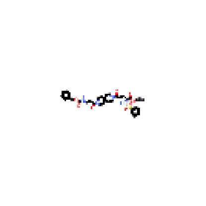 CC(C)(C)OC(=O)[C@H](CCC(=O)N1CCC2(CCN(C(=O)CCNC(=O)OCc3ccccc3)CC2)CC1)NS(=O)(=O)c1ccccc1